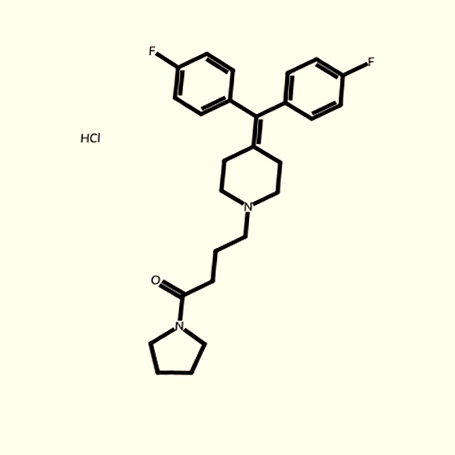 Cl.O=C(CCCN1CCC(=C(c2ccc(F)cc2)c2ccc(F)cc2)CC1)N1CCCC1